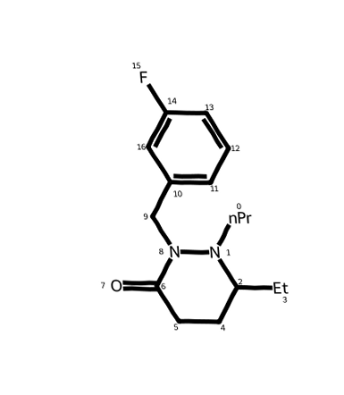 CCCN1C(CC)CCC(=O)N1Cc1cccc(F)c1